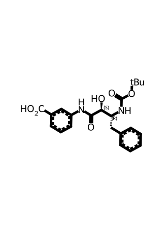 CC(C)(C)OC(=O)N[C@H](Cc1ccccc1)[C@H](O)C(=O)Nc1cccc(C(=O)O)c1